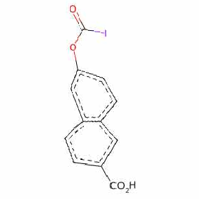 O=C(I)Oc1ccc2cc(C(=O)O)ccc2c1